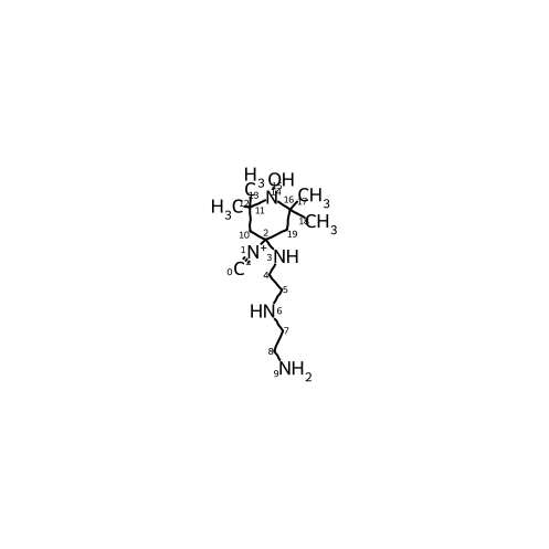 [C-]#[N+]C1(NCCNCCN)CC(C)(C)N(O)C(C)(C)C1